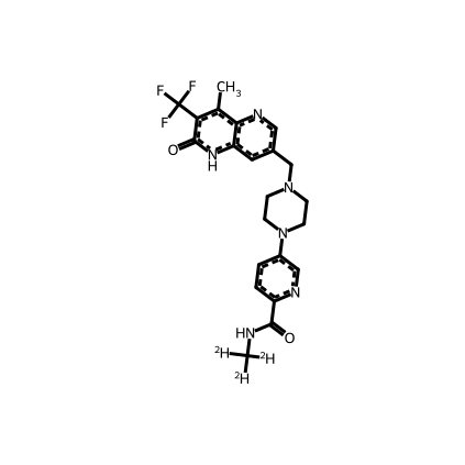 [2H]C([2H])([2H])NC(=O)c1ccc(N2CCN(Cc3cnc4c(C)c(C(F)(F)F)c(=O)[nH]c4c3)CC2)cn1